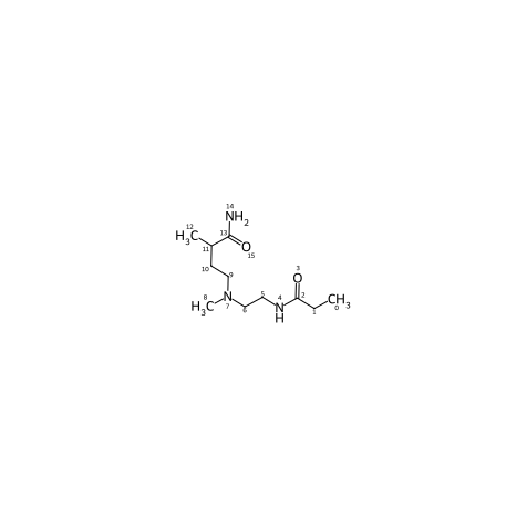 CCC(=O)NCCN(C)CCC(C)C(N)=O